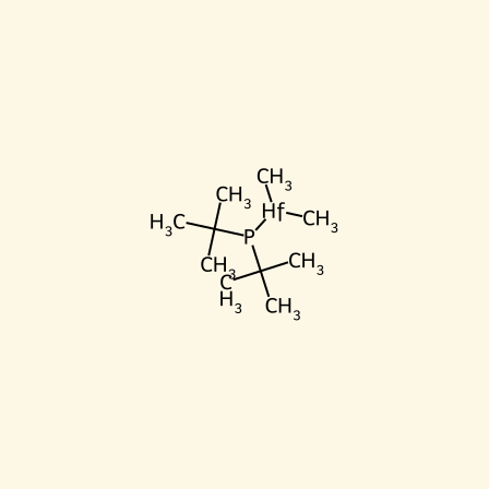 [CH3][Hf]([CH3])[P](C(C)(C)C)C(C)(C)C